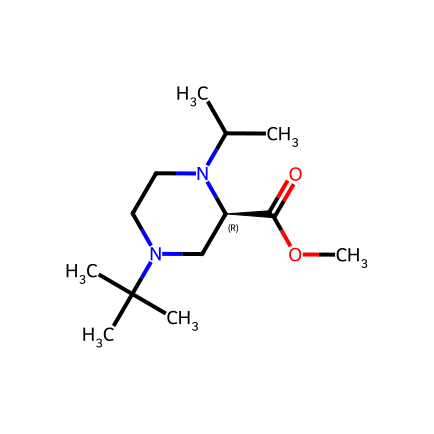 COC(=O)[C@H]1CN(C(C)(C)C)CCN1C(C)C